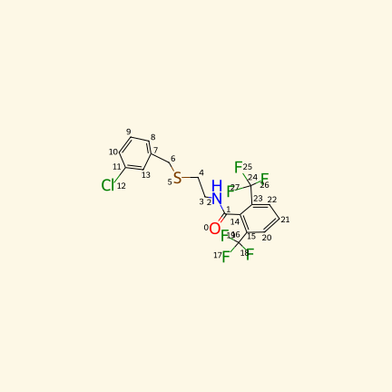 O=C(NCCSCc1cccc(Cl)c1)c1c(C(F)(F)F)cccc1C(F)(F)F